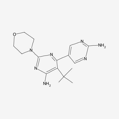 CC(C)(C)c1c(N)nc(N2CCOCC2)nc1-c1cnc(N)nc1